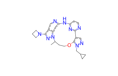 CC1CCOc2c(cnn2CC2CC2)-c2nccc(n2)Nc2cc3c(cn2)c(N2CCC2)nn31